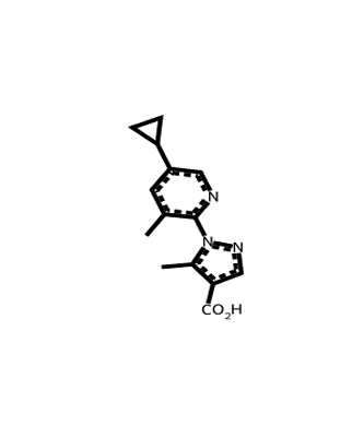 Cc1cc(C2CC2)cnc1-n1ncc(C(=O)O)c1C